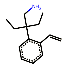 C=Cc1ccccc1C(CC)(CC)CN